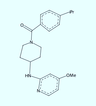 COc1ccnc(NC2CCN(C(=O)c3ccc(C(C)C)cc3)CC2)c1